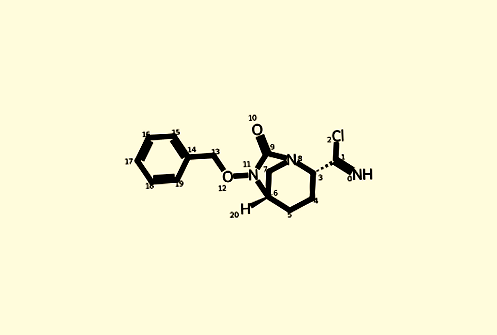 N=C(Cl)[C@@H]1CC[C@H]2CN1C(=O)N2OCc1ccccc1